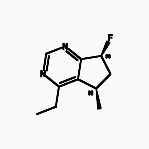 CCc1ncnc2c1[C@H](C)C[C@@H]2F